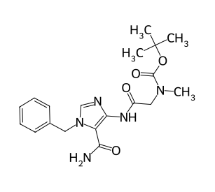 CN(CC(=O)Nc1ncn(Cc2ccccc2)c1C(N)=O)C(=O)OC(C)(C)C